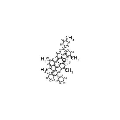 Cc1ccc(C(=Cc2ccc(N(c3ccc(C)cc3C)c3cc(C)cc4c(C)cc(C=C(c5ccccc5)c5ccccc5)cc34)cc2)c2ccc(C)cc2)cc1